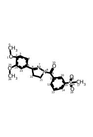 COc1ccc(C2=NN(C(=O)c3cccc(S(C)(=O)=O)c3)CC2)cc1OC